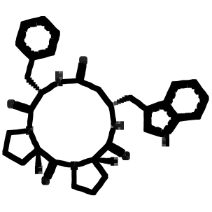 O=C1C[C@H](Cc2c[nH]c3ccccc23)NC(=O)[C@@H]2CCCN2C(=O)[C@@H]2CCCN2C(=O)[C@H](Cc2ccccc2)N1